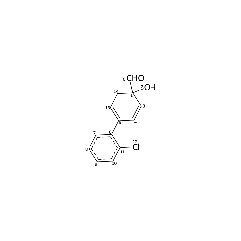 O=CC1(O)C=CC(c2ccccc2Cl)=CC1